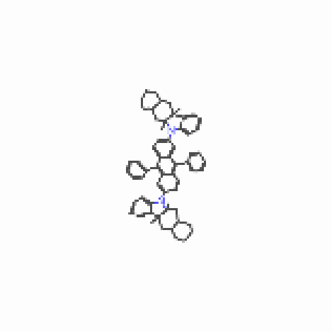 CC12CC3CCCCC3CC1(C)N(c1ccc3c(-c4ccccc4)c4cc(N5c6ccccc6C6(C)CC7CCCCC7CC56C)ccc4c(-c4ccccc4)c3c1)c1ccccc12